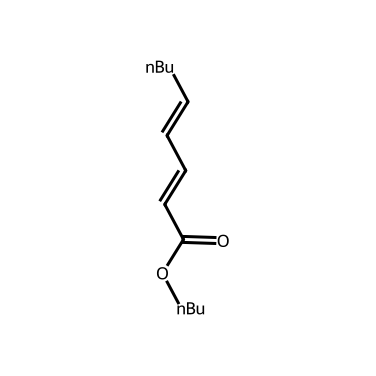 CCCC/C=C/C=C/C(=O)OCCCC